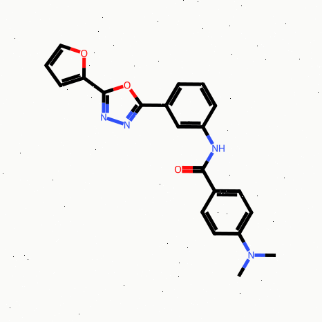 CN(C)c1ccc(C(=O)Nc2cccc(-c3nnc(-c4ccco4)o3)c2)cc1